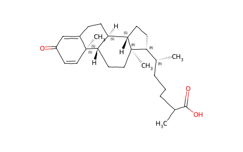 CC(CCC[C@@H](C)[C@H]1CC[C@H]2[C@@H]3CCC4=CC(=O)C=C[C@]4(C)[C@H]3CC[C@]12C)C(=O)O